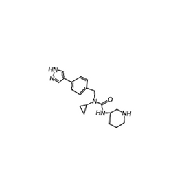 O=C(N[C@@H]1CCCNC1)N(Cc1ccc(-c2cn[nH]c2)cc1)C1CC1